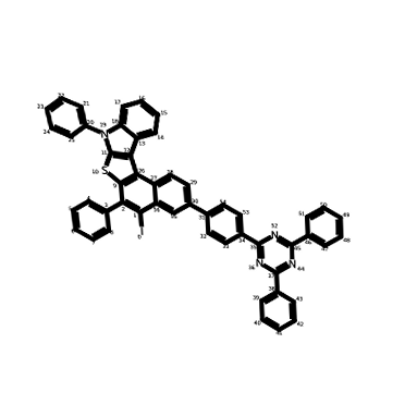 Ic1c(-c2ccccc2)c2sc3c(c4ccccc4n3-c3ccccc3)c2c2ccc(-c3ccc(-c4nc(-c5ccccc5)nc(-c5ccccc5)n4)cc3)cc12